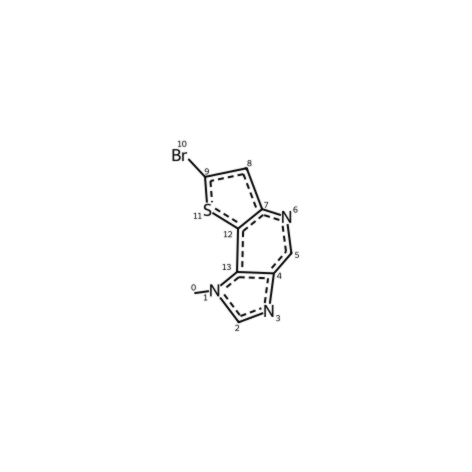 Cn1cnc2cnc3cc(Br)sc3c21